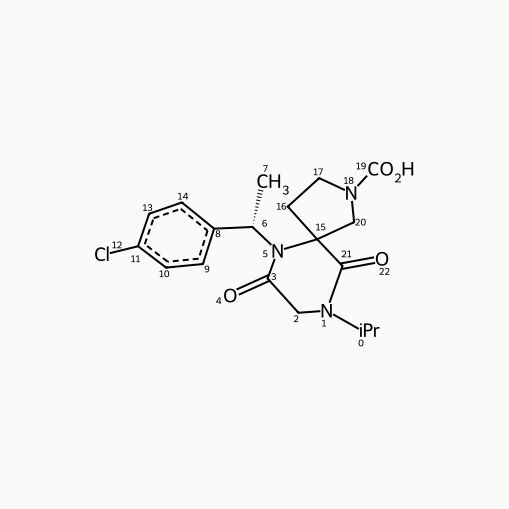 CC(C)N1CC(=O)N([C@@H](C)c2ccc(Cl)cc2)C2(CCN(C(=O)O)C2)C1=O